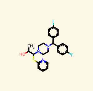 CC(O)C(Sc1ccccn1)N1CCN(C(c2ccc(F)cc2)c2ccc(F)cc2)CC1